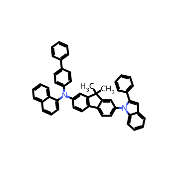 CC1(C)c2cc(N(c3ccc(-c4ccccc4)cc3)c3cccc4ccccc34)ccc2-c2ccc(-n3c(-c4ccccc4)cc4ccccc43)cc21